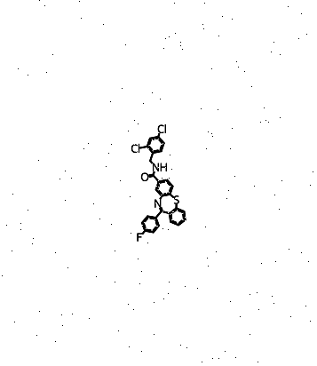 O=C(NCc1ccc(Cl)cc1Cl)c1ccc2c(c1)N=C(c1ccc(F)cc1)c1ccccc1S2